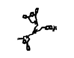 C=C1CN(CCN(CCC(=O)O)CCN2CC(=O)OC(=O)C2)CC(=O)O1